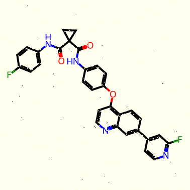 O=C(Nc1ccc(F)cc1)C1(C(=O)Nc2ccc(Oc3ccnc4cc(-c5ccnc(F)c5)ccc34)cc2)CC1